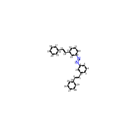 C(=Cc1cccc(N=Nc2cccc(C=Cc3ccccc3)c2)c1)c1ccccc1